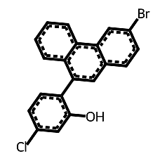 Oc1cc(Cl)ccc1-c1cc2ccc(Br)cc2c2ccccc12